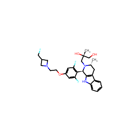 C[C@@H]1Cc2c([nH]c3ccccc23)[C@@H](c2c(F)cc(OCCN3CC(CF)C3)cc2F)N1C[C@](C)(O)CO